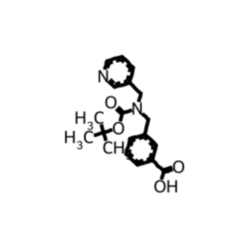 CC(C)(C)OC(=O)N(Cc1cccnc1)Cc1cccc(C(=O)O)c1